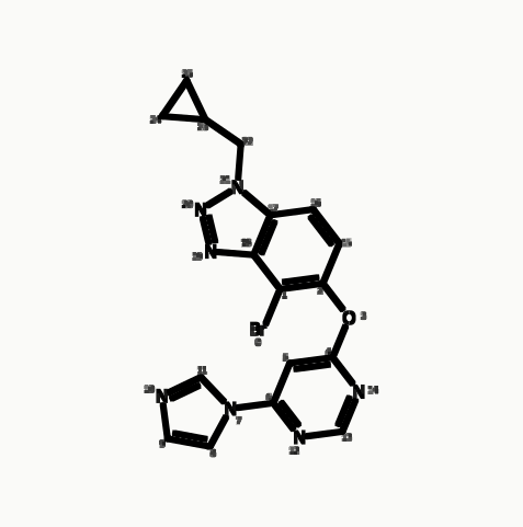 Brc1c(Oc2cc(-n3ccnc3)ncn2)ccc2c1nnn2CC1CC1